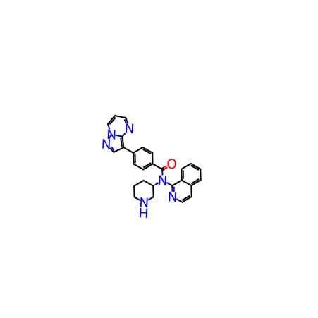 O=C(c1ccc(-c2cnn3cccnc23)cc1)N(c1nccc2ccccc12)[C@@H]1CCCNC1